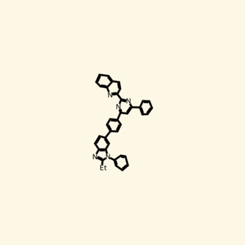 CCc1nc2ccc(-c3ccc(-c4cc(-c5ccccc5)nc(-c5ccc6ccccc6n5)n4)cc3)cc2n1-c1ccccc1